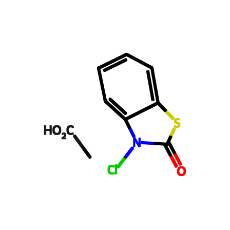 CC(=O)O.O=c1sc2ccccc2n1Cl